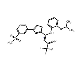 CC(C)Oc1ccccc1N/C(=C\C(=N)C(F)(F)F)c1cc(-c2cccc(S(C)(=O)=O)c2)cs1